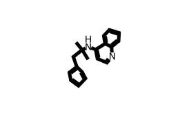 CC(C)(Cc1ccccc1)Nc1ccnc2ccccc12